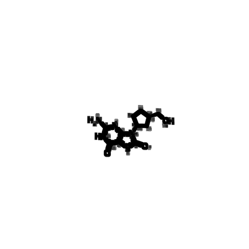 Nc1nc2c(sc(=O)n2[C@H]2CC[C@@H](CO)C2)c(=O)[nH]1